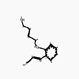 OCCCCOc1ccccc1C=CI